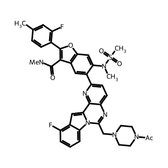 CNC(=O)c1c(-c2ccc(C)cc2F)oc2cc(N(C)S(C)(=O)=O)c(-c3ccc4nc(CN5CCN(C(C)=O)CC5)n5c6cccc(F)c6cc5c4n3)cc12